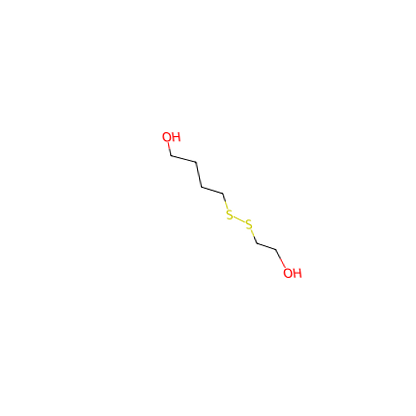 OCCCCSSCCO